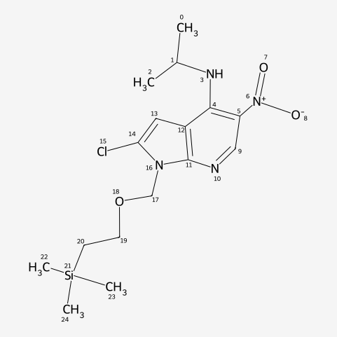 CC(C)Nc1c([N+](=O)[O-])cnc2c1cc(Cl)n2COCC[Si](C)(C)C